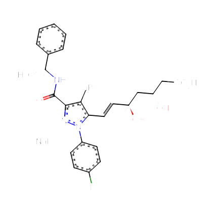 CC(C)c1c(C(=O)N[C@H](C)c2ccccc2)nn(-c2ccc(F)cc2)c1/C=C/[C@H](O)C[C@@H](O)CC(=O)O.[NaH]